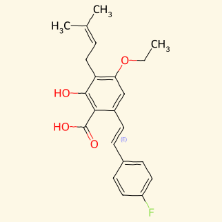 CCOc1cc(/C=C/c2ccc(F)cc2)c(C(=O)O)c(O)c1CC=C(C)C